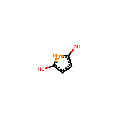 Oc1ccc(O)[pH]1